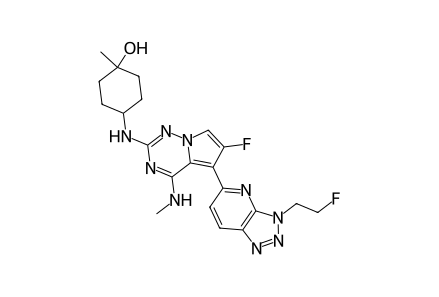 CNc1nc(NC2CCC(C)(O)CC2)nn2cc(F)c(-c3ccc4nnn(CCF)c4n3)c12